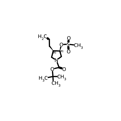 C=CC[C@@H]1CN(C(=O)OC(C)(C)C)C[C@@H]1OS(C)(=O)=O